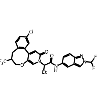 CCC(C(=O)Nc1ccc2nn(C(F)F)cc2c1)n1cc2c(cc1=O)-c1cc(Cl)ccc1CC(C(F)(F)F)CO2